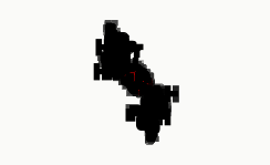 C=CCOC(=O)N[C@H](C(=O)N1CCC[C@H]1c1nc(-c2ccc(-c3cc4ccc3CCc3ccc(c(-c5ccc(-c6c[nH]c([C@@H]7CCCN7C(=O)[C@@H](NC(=O)OCC=C)C(C)C)n6)cc5)c3)C[C@H]4C)cc2)c[nH]1)C(C)C